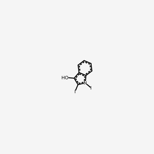 Oc1c(I)n(I)c2ccccc12